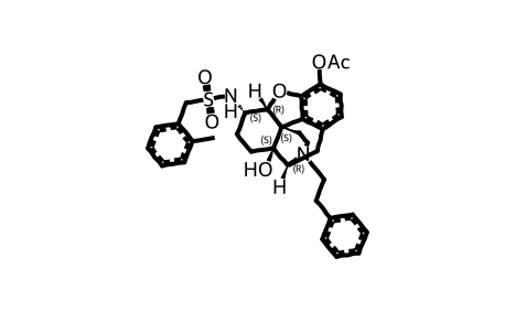 CC(=O)Oc1ccc2c3c1O[C@H]1[C@@H](NS(=O)(=O)Cc4ccccc4C)CC[C@@]4(O)[C@@H](C2)N(CCc2ccccc2)CC[C@]314